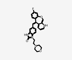 O=c1[nH]c2cc(/C=C3\C4=CC=CNC4=COc4cc(F)ccc43)ccc2n1CCN1CCOCC1